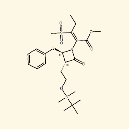 CCC(=C(C(=O)OC)N1C(=O)[C@H](CCO[Si](C)(C)C(C)(C)C)[C@H]1Sc1ccccc1)S(C)(=O)=O